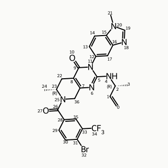 C=C[C@@H](C)Nc1nc2c(c(=O)n1-c1ccc3c(c1)ncn3C)C[C@@H](C)N(C(=O)c1ccc(Br)c(C(F)(F)F)c1)C2